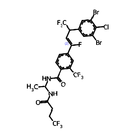 CC(NC(=O)CCC(F)(F)F)NC(=O)c1ccc(/C(F)=C/C(c2cc(Br)c(Cl)c(Br)c2)C(F)(F)F)cc1C(F)(F)F